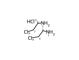 Cl.NCCCl.NCCCl